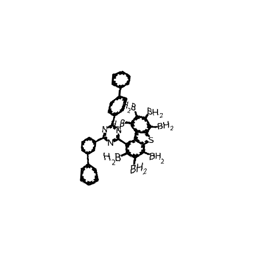 Bc1c(B)c(B)c2c(sc3c(B)c(B)c(B)c(-c4nc(-c5ccc(-c6ccccc6)cc5)nc(-c5cccc(-c6ccccc6)c5)n4)c32)c1B